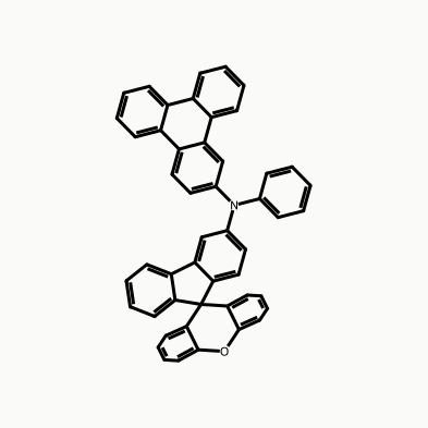 c1ccc(N(c2ccc3c(c2)-c2ccccc2C32c3ccccc3Oc3ccccc32)c2ccc3c4ccccc4c4ccccc4c3c2)cc1